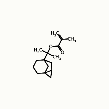 C=C(C)C(=O)OC(C)(C)C12CCCC3(CC3C1)C2